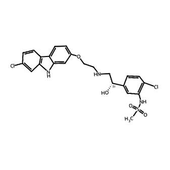 CS(=O)(=O)Nc1cc([C@H](O)CNCCOc2ccc3c(c2)[nH]c2cc(Cl)ccc23)ccc1Cl